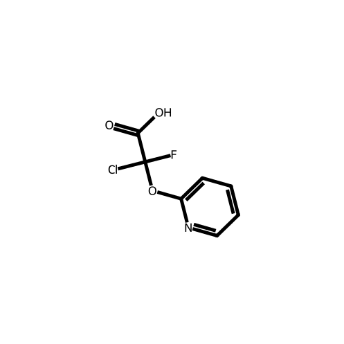 O=C(O)C(F)(Cl)Oc1ccccn1